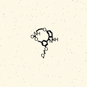 COCCOc1cc2cc(c1)-c1n[nH]c3ccc(cc13)OCCCNC(=O)OC2